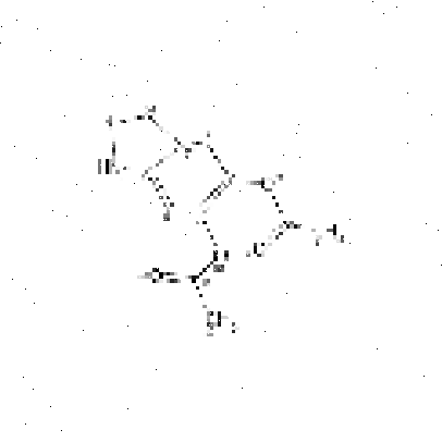 CC(=O)Oc1cc2c(cc1OC(C)=O)NCC2